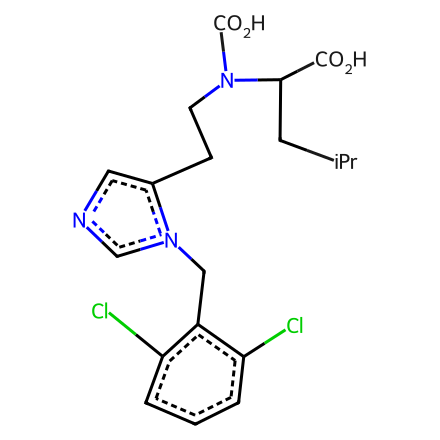 CC(C)CC(C(=O)O)N(CCc1cncn1Cc1c(Cl)cccc1Cl)C(=O)O